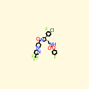 O=C(NCC[C@@H]1CN(C(=O)C2CCN(c3ccc(C(F)(F)F)cn3)CC2)C[C@H]1c1ccc(Cl)c(F)c1)Oc1ccc(F)cc1